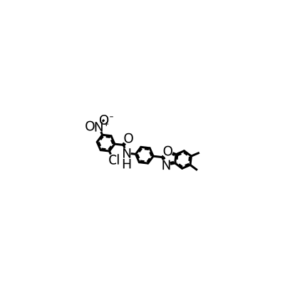 Cc1cc2nc(-c3ccc(NC(=O)c4cc([N+](=O)[O-])ccc4Cl)cc3)oc2cc1C